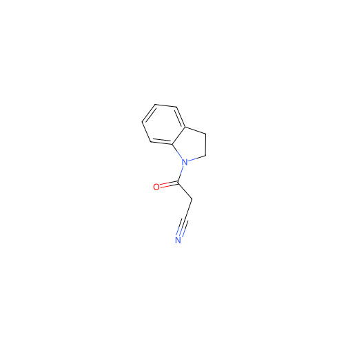 N#CCC(=O)N1CCc2ccccc21